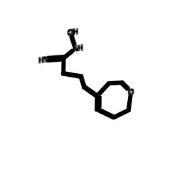 N=C(CCCC1=CCCOCC1)NO